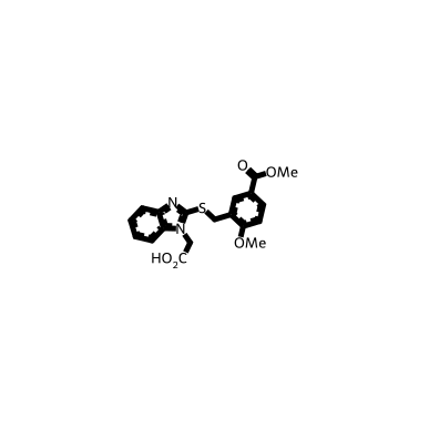 COC(=O)c1ccc(OC)c(CSc2nc3ccccc3n2CC(=O)O)c1